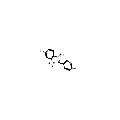 CS(=O)(=O)c1cc(F)ccc1N(N)Cc1ccc(Cl)cc1